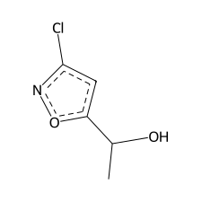 CC(O)c1cc(Cl)no1